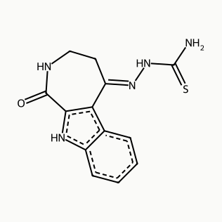 NC(=S)NN=C1CCNC(=O)c2[nH]c3ccccc3c21